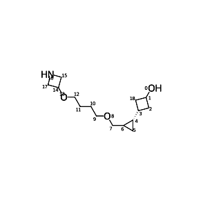 OC1CC([C@@H]2CC2COCCCCOC2CNC2)C1